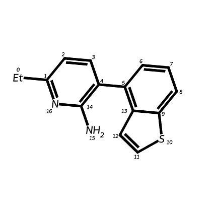 CCc1ccc(-c2cccc3sccc23)c(N)n1